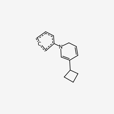 C1=CC(C2CCC2)=CN(c2ccccc2)C1